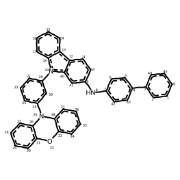 c1ccc(-c2ccc(Nc3ccc4c5ccccc5n(-c5cccc(N6c7ccccc7Oc7ccccc76)c5)c4c3)cc2)cc1